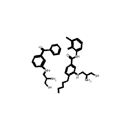 CCCCCc1ccc(C(=O)Nc2cccc(C)c2C)cc1NCC(N)CS.NC(CS)CNc1cccc(C(=O)c2ccccc2)c1